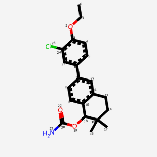 CCOc1ccc(-c2ccc3c(c2)CCC(C)(C)C3OC(N)=O)cc1Cl